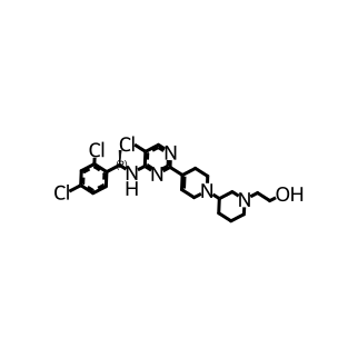 C[C@@H](Nc1nc(C2=CCN(C3CCCN(CCO)C3)CC2)ncc1Cl)c1ccc(Cl)cc1Cl